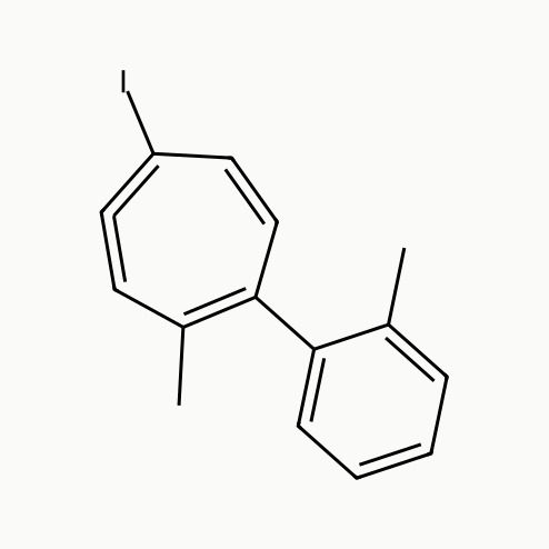 CC1=C(c2ccccc2C)C=CC(I)=C=C1